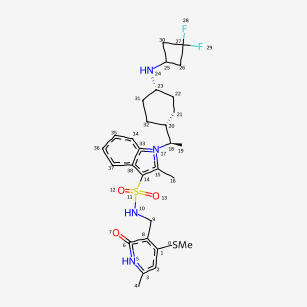 CSc1cc(C)[nH]c(=O)c1CNS(=O)(=O)c1c(C)n([C@H](C)[C@H]2CC[C@@H](NC3CC(F)(F)C3)CC2)c2ccccc12